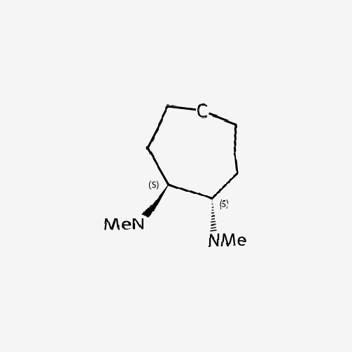 CN[C@H]1CCCCC[C@@H]1NC